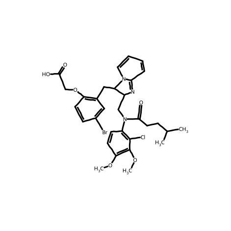 COc1ccc(N(CC2N=C3C=CC=CN3C2Cc2cc(Br)ccc2OCC(=O)O)C(=O)CCC(C)C)c(Cl)c1OC